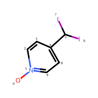 [O-][n+]1ccc(C(I)I)cc1